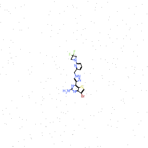 Nc1nc(-c2cn(Cc3cccc(N4CC(F)(F)C4)n3)nn2)c2scc(Br)c2n1